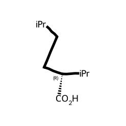 CC(C)CC[C@@H](C(=O)O)C(C)C